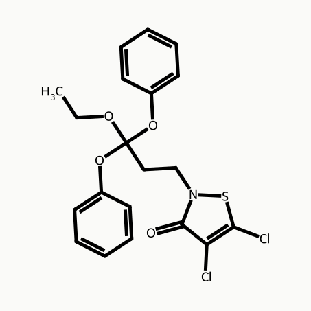 CCOC(CCn1sc(Cl)c(Cl)c1=O)(Oc1ccccc1)Oc1ccccc1